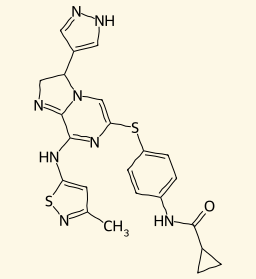 Cc1cc(NC2=NC(Sc3ccc(NC(=O)C4CC4)cc3)=CN3C2=NCC3c2cn[nH]c2)sn1